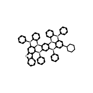 c1ccc(N2c3ccccc3B3c4cc5c(cc4N(c4ccccc4)c4cc(C6CCCCC6)cc2c43)N(c2ccccc2)c2c3c(cc4oc6ccccc6c24)N(c2ccccc2)c2ccccc2B53)cc1